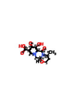 C[C@@H]1CCO[C@H]2Cn3cc(C(=O)O)c(=O)c(O)c3C(=O)N12